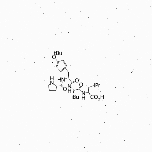 CC[C@H](C)[C@H](NC(=O)[C@H](Cc1ccc(OC(C)(C)C)cc1)NC(=O)[C@@H]1CCCN1)C(=O)N[C@@H](CC(C)C)C(=O)O